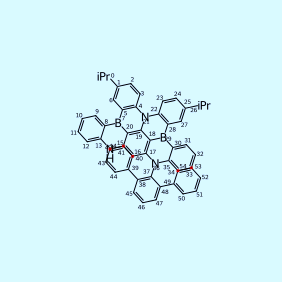 CC(C)c1ccc2c(c1)B1c3ccccc3Nc3cc4c5c(c31)N2c1ccc(C(C)C)cc1B5c1ccccc1N4c1c(-c2ccccc2)cccc1-c1ccccc1